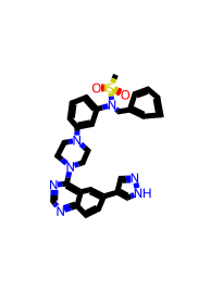 CS(=O)(=O)N(Cc1ccccc1)c1cccc(N2CCN(c3ncnc4ccc(-c5cn[nH]c5)cc34)CC2)c1